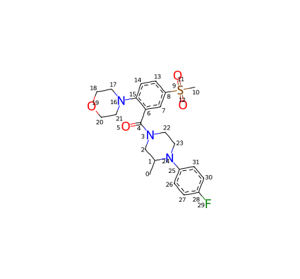 CC1CN(C(=O)c2cc(S(C)(=O)=O)ccc2N2CCOCC2)CCN1c1ccc(F)cc1